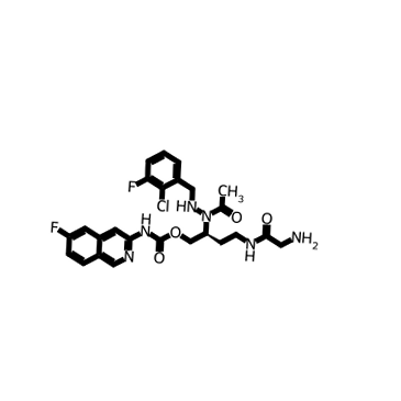 CC(=O)N(NCc1cccc(F)c1Cl)[C@@H](CCNC(=O)CN)COC(=O)Nc1cc2cc(F)ccc2cn1